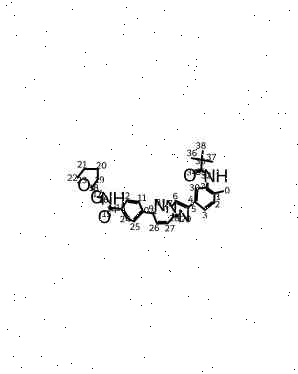 Cc1ccc(-c2cn3nc(-c4ccc(C(=O)NOC5CCCCO5)cc4)ccc3n2)cc1NC(=O)C(C)(C)C